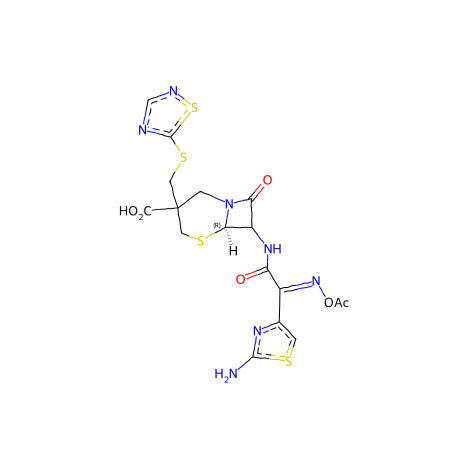 CC(=O)ON=C(C(=O)NC1C(=O)N2CC(CSc3ncns3)(C(=O)O)CS[C@H]12)c1csc(N)n1